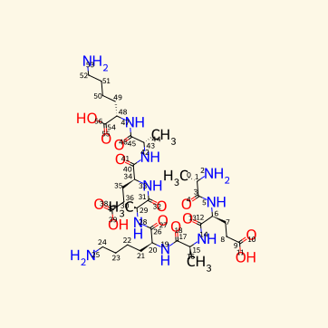 C[C@H](N)C(=O)N[C@@H](CCC(=O)O)C(=O)N[C@@H](C)C(=O)N[C@@H](CCCCN)C(=O)N[C@@H](C)C(=O)N[C@@H](CCC(=O)O)C(=O)N[C@@H](C)C(=O)N[C@@H](CCCCN)C(=O)O